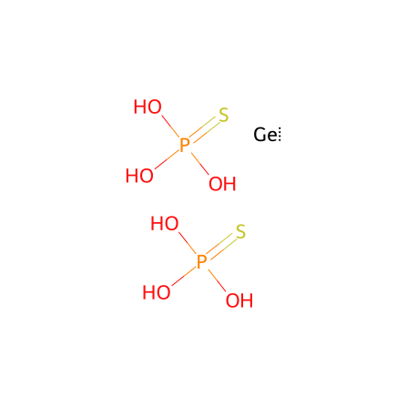 OP(O)(O)=S.OP(O)(O)=S.[Ge]